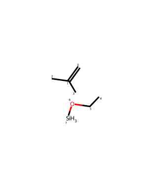 C=C(C)C.CCO[SiH3]